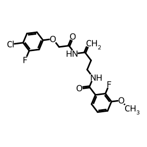 C=C(CCNC(=O)c1cccc(OC)c1F)NC(=O)COc1ccc(Cl)c(F)c1